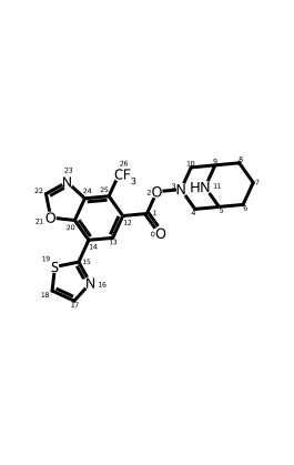 O=C(ON1CC2CCCC(C1)N2)c1cc(-c2nccs2)c2ocnc2c1C(F)(F)F